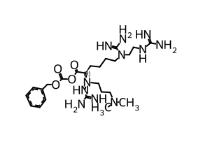 CN(C)CCCN(NC(=N)N)[C@H](CCCCN(CCNC(=N)N)C(=N)N)C(=O)OC(=O)OCc1ccccc1